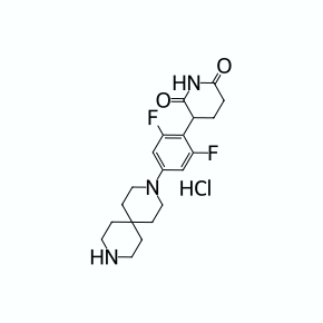 Cl.O=C1CCC(c2c(F)cc(N3CCC4(CCNCC4)CC3)cc2F)C(=O)N1